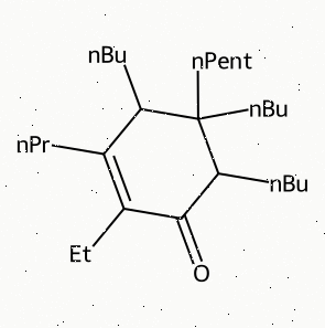 CCCCCC1(CCCC)C(CCCC)C(=O)C(CC)=C(CCC)C1CCCC